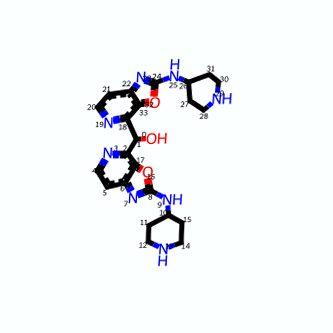 OC(c1nccc2nc(NC3CCNCC3)oc12)c1nccc2nc(NC3CCNCC3)oc12